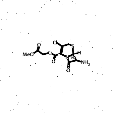 COC(=O)COC(=O)C1=C(Cl)CS[C@@H]2C(N)C(=O)N12